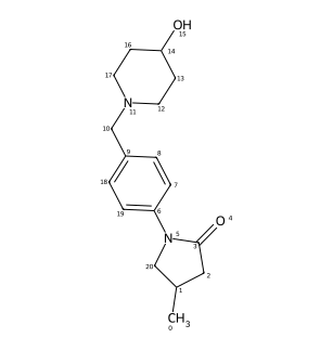 CC1CC(=O)N(c2ccc(CN3CCC(O)CC3)cc2)C1